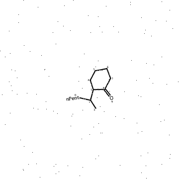 CCCCCC(C)C1CCCCC1=O